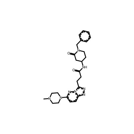 CN1CCN(c2ccc3nnc(CCC(=O)NC4CCN(Cc5ccccc5)C(=O)C4)n3n2)CC1